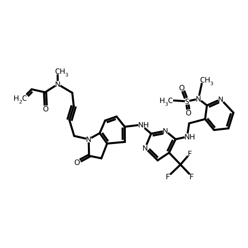 C=CC(=O)N(C)CC#CCN1C(=O)Cc2cc(Nc3ncc(C(F)(F)F)c(NCc4cccnc4N(C)S(C)(=O)=O)n3)ccc21